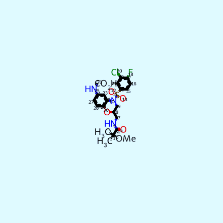 COC(C)(C)C(=O)NCC1CN(S(=O)(=O)c2ccc(F)c(Cl)c2)c2cc(NC(=O)O)ccc2O1